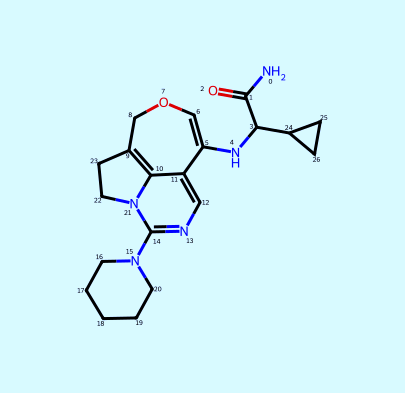 NC(=O)C(NC1=COCC2=C3C1=CN=C(N1CCCCC1)N3CC2)C1CC1